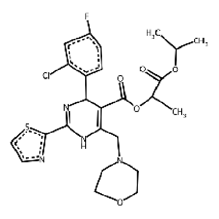 CC(C)OC(=O)C(C)OC(=O)C1=C(CN2CCOCC2)NC(c2nccs2)=NC1c1ccc(F)cc1Cl